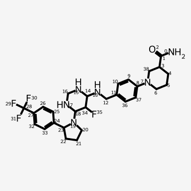 NC(=O)C1CCCN(c2ccc(CNC3NCNC(N4CCCC4c4ccc(C(F)(F)F)cc4)C3F)cc2)C1